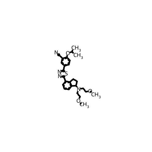 COCCN(CCOC)C1CCc2c(-c3nnc(-c4ccc(OC(C)C)c(C#N)c4)s3)cccc21